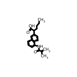 C=C(C)C(=O)Nc1cccc2cc(C(CCCC)C(=O)O)ccc12